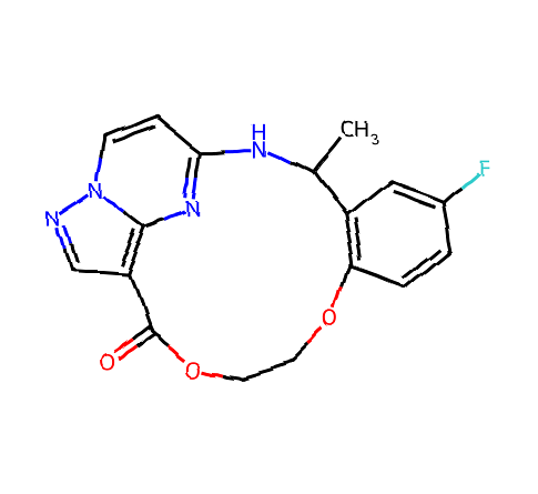 CC1Nc2ccn3ncc(c3n2)C(=O)OCCOc2ccc(F)cc21